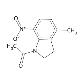 CC(=O)N1CCc2c(C)ccc([N+](=O)[O-])c21